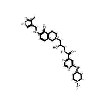 CC(=O)N1CCC(Nc2cc(C(=O)NCC(O)CN3CCc4c(ccc(OCc5conc5C)c4Cl)C3)ncn2)CC1